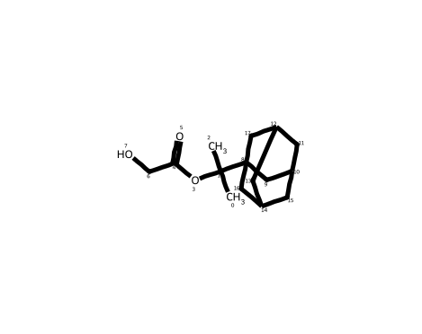 CC(C)(OC(=O)CO)C12CC3CC(CC(C3)C1)C2